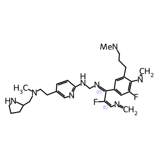 C=N/C=C(F)\C(=N/CNc1ccc(CCN(C)CC2CCCN2)cn1)c1cc(F)c(N=C)c(CCCNC)c1